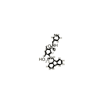 Cc1cc(C)c(S(=O)(=O)NCc2cccnc2)cc1N(CC1c2ccccc2-c2ccccc21)C(=O)O